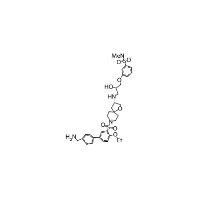 CCOc1ccc(-c2ccc(CN)cc2)cc1S(=O)(=O)N1CCC2(CC1)C[C@H](NCC(O)COc1cccc(S(=O)(=O)NC)c1)CO2